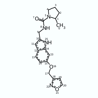 CC1CCCN1C(=O)NCc1cc2ccc(OCc3ccon3)cc2[nH]1